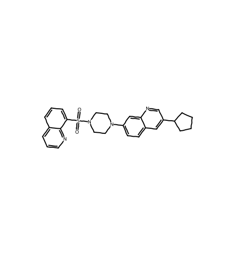 O=S(=O)(c1cccc2cccnc12)N1CCN(c2ccc3cc(C4CCCC4)cnc3c2)CC1